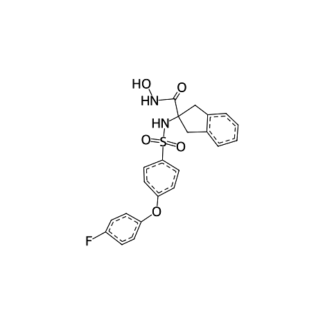 O=C(NO)C1(NS(=O)(=O)c2ccc(Oc3ccc(F)cc3)cc2)Cc2ccccc2C1